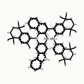 Cc1cc2c(cc1N1c3cc4c(cc3Bc3c(-c5cc6c(cc5Nc5ccc7c(c5)C(C)(C)CCC7(C)C)C(C)(C)CCC6(C)C)cc5ccccc5c31)oc1ccccc14)C(C)(C)CCC2(C)C